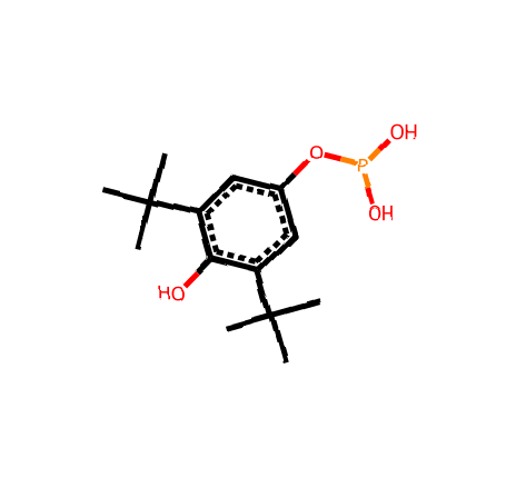 CC(C)(C)c1cc(OP(O)O)cc(C(C)(C)C)c1O